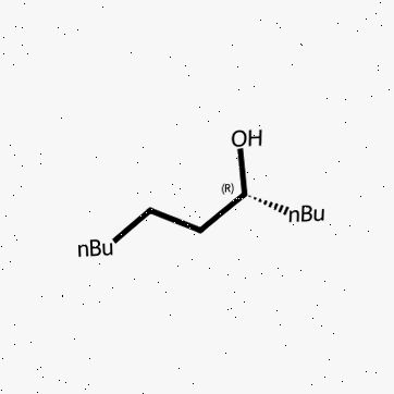 CCCCCC[C@H](O)CCCC